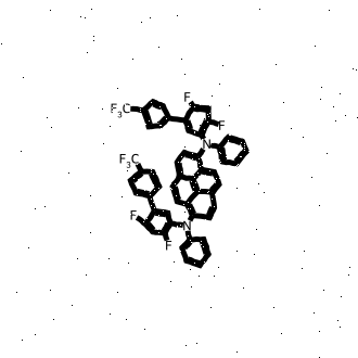 Fc1cc(F)c(N(c2ccccc2)c2ccc3ccc4c(N(c5ccccc5)c5cc(-c6ccc(C(F)(F)F)cc6)c(F)cc5F)ccc5ccc2c3c54)cc1-c1ccc(C(F)(F)F)cc1